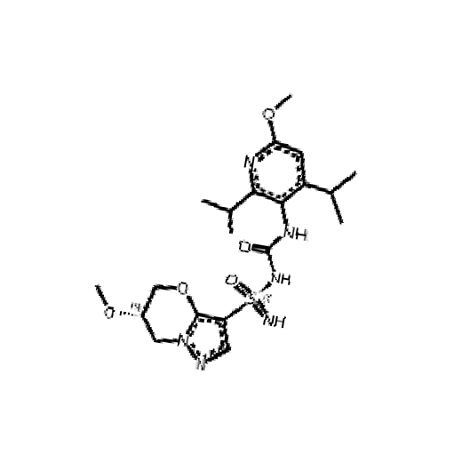 COc1cc(C(C)C)c(NC(=O)N[S@](=N)(=O)c2cnn3c2OC[C@@H](OC)C3)c(C(C)C)n1